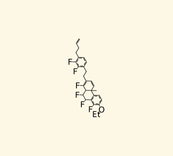 C=CCCc1ccc(CCC2=C(F)C3C(F)C(F)c4c(ccc(OCC)c4F)C3(C)C=C2)c(F)c1F